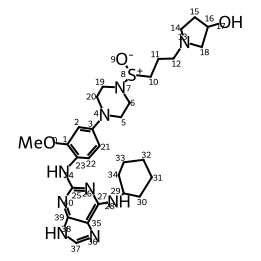 COc1cc(N2CCN([S+]([O-])CCCN3CCC(O)C3)CC2)ccc1Nc1nc(NC2CCCCC2)c2nc[nH]c2n1